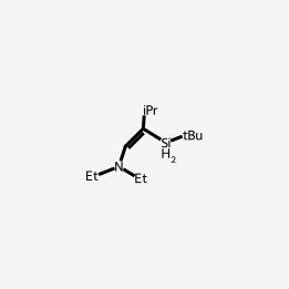 CCN(C=C([SiH2]C(C)(C)C)C(C)C)CC